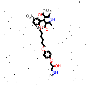 COC(=O)C1=C(C)NC(C)=C(C(=O)OC)C1c1cc([N+](=O)[O-])ccc1OCCCCCCOc1ccc(OCC(O)CNC(C)C)cc1